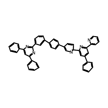 c1ccc(-c2cc(-c3ccccn3)nc(-c3ccc(-c4ccc(-c5cccc(-c6nc(-c7ccccc7)cc(-c7ccccc7)n6)c5)cc4)cn3)c2)cc1